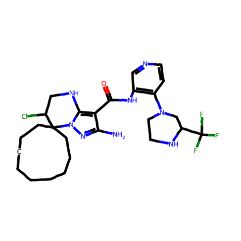 Nc1nn2c(c1C(=O)Nc1cnccc1N1CCNC(C(F)(F)F)C1)NCC(Cl)C21CCCCCCCCC1